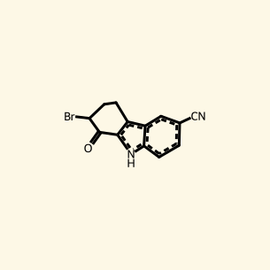 N#Cc1ccc2[nH]c3c(c2c1)CCC(Br)C3=O